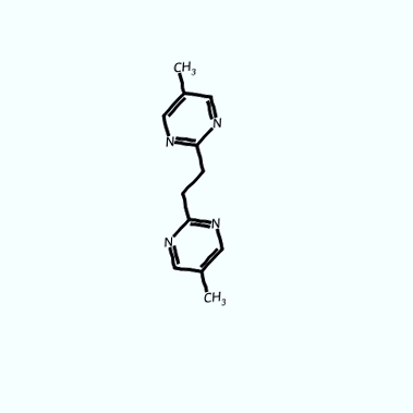 Cc1cnc(CCc2ncc(C)cn2)nc1